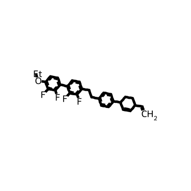 C=CC1C=CC(c2ccc(CCc3ccc(-c4ccc(OCC)c(F)c4F)c(F)c3F)cc2)CC1